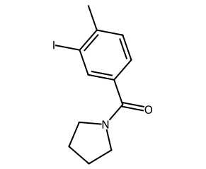 Cc1ccc(C(=O)N2CCCC2)cc1I